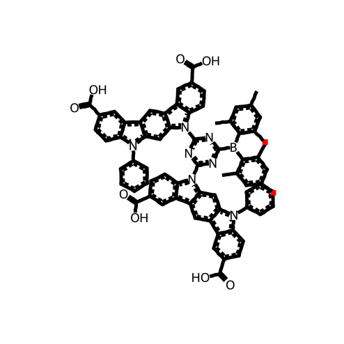 Cc1cc(C)c(B(c2nc(-n3c4ccc(C(=O)O)cc4c4cc5c6cc(C(=O)O)ccc6n(-c6ccccc6)c5cc43)nc(-n3c4ccc(C(=O)O)cc4c4cc5c6cc(C(=O)O)ccc6n(-c6ccccc6)c5cc43)n2)c2c(C)cc(C)cc2C)c(C)c1